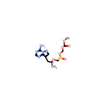 CC(C)OC(=O)OCO[PH](=O)CO[C@@H](C)Cc1cnn2c(N)ncnc12